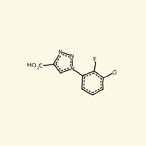 O=C(O)c1cn(-c2cccc(Cl)c2F)nn1